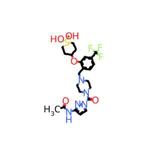 CC(=O)Nc1ccn(C(=O)N2CCN(Cc3ccc(C(F)(F)F)cc3OC3CCS(O)(O)CC3)CC2)n1